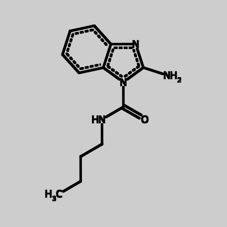 CCCCNC(=O)n1c(N)nc2ccccc21